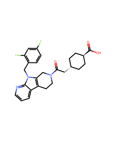 O=C(C[C@H]1CC[C@H](C(=O)O)CC1)N1CCc2c(n(Cc3ccc(F)cc3F)c3ncccc23)C1